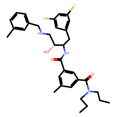 CCCN(CCC)C(=O)c1cc(C)cc(C(=O)NC(Cc2cc(F)cc(F)c2)[C@H](O)CNCc2cccc(C)c2)c1